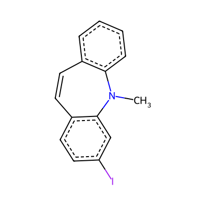 CN1c2ccccc2C=Cc2ccc(I)cc21